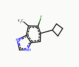 Fc1c(C2CCC2)cc2[nH][c]nc2c1C(F)(F)F